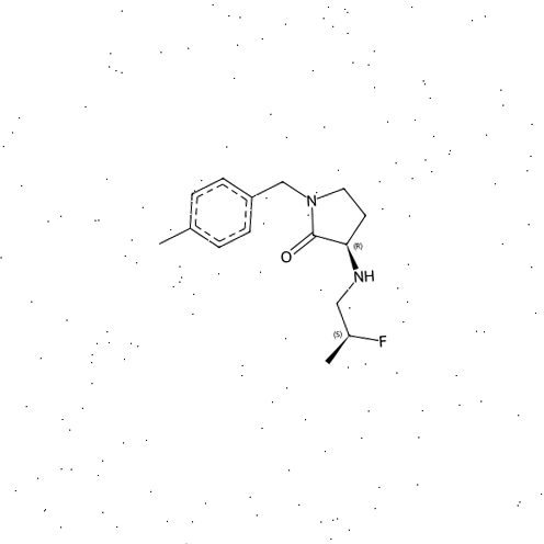 Cc1ccc(CN2CC[C@@H](NC[C@H](C)F)C2=O)cc1